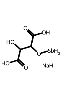 O=C(O)C(O)C([O][SbH2])C(=O)O.[NaH]